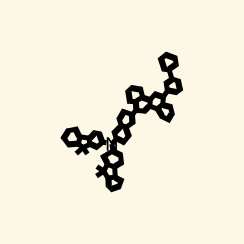 CC1(C)c2ccccc2-c2ccc(N(c3ccc4c(c3)C(C)(C)c3ccccc3-4)c3ccc4cc(-c5cc6c7ccccc7c(-c7cccc(-c8ccccc8)c7)cc6c6ccccc56)ccc4c3)cc21